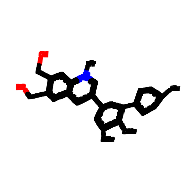 CCC[n+]1cc(-c2cc(OC)c(OC)c(-c3ccc(C(C)(C)C)cc3)c2)cc2cc(CO)c(CO)cc21